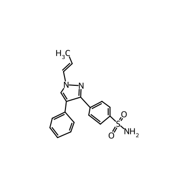 CC=Cn1cc(-c2ccccc2)c(-c2ccc(S(N)(=O)=O)cc2)n1